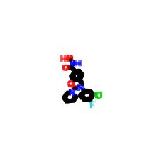 O=C(NO)c1ccc(CN(C(=O)N2CCCCC2)c2ccc(F)c(Cl)c2)cc1